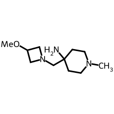 COC1CN(CC2(N)CCN(C)CC2)C1